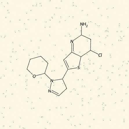 NC1CC(Cl)C2SC(C3CC=NN3C3CCCCO3)=CC2=N1